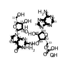 Nc1nc2c(ncn2[C@@H]2O[C@H](CO)[C@@H](O)[C@H]2O)c(=O)[nH]1.Nc1ncnc2c1ncn2[C@@H]1O[C@H](COP(=O)(O)O)[C@@H](O)[C@H]1O